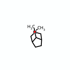 COC1C2CCC1CN(C)C2